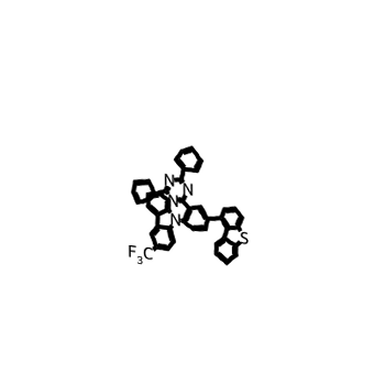 FC(F)(F)c1ccc2c(c1)c1ccccc1n2-c1ccc(-c2cccc3sc4ccccc4c23)cc1-c1nc(-c2ccccc2)nc(-c2ccccc2)n1